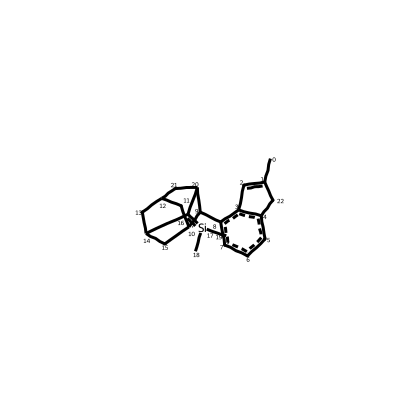 CC1=Cc2c(cccc2C2[C]3CC4CC(C3)C(=[Si](C)C)C2C4)C1